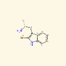 C[C@@H](N)Cc1c(Br)[nH]c2ccccc12